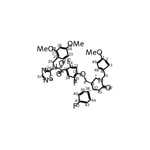 COc1ccc(CN2C[C@H](COc3cc(F)c(S(=O)(=O)N(Cc4ccc(OC)cc4OC)c4ncns4)cc3F)[C@@H](c3ccc(F)cc3)CC2=O)cc1